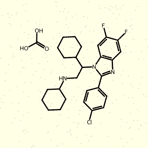 Fc1cc2nc(-c3ccc(Cl)cc3)n(C(CNC3CCCCC3)C3CCCCC3)c2cc1F.O=C(O)O